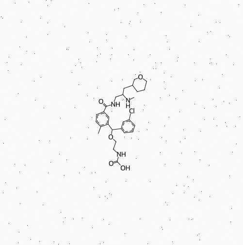 CNC(CNC(=O)c1ccc(C)c(C(OCCNC(=O)O)c2cccc(Cl)c2)c1)CC1CCCOC1